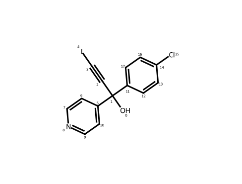 OC(C#CI)(c1ccncc1)c1ccc(Cl)cc1